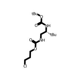 CC(C)(C)OC(=O)N[C@@H](CNC(=O)OCCCCl)C(C)(C)C